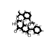 CC(C)c1cccc([S+](C)[O-])c1-n1c(=O)[nH]c(=O)c2cc(Cl)c(-c3ccccc3F)nc21